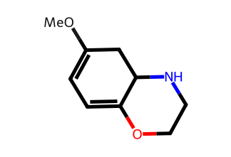 COC1=CC=C2OCCNC2C1